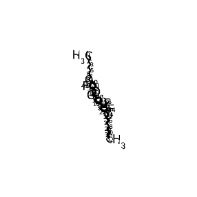 CCCCCCCCOc1ccc(OC(=O)c2ccc(-c3ccc(OCCCCCCCC)c(F)c3F)cc2)cc1F